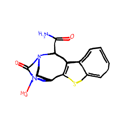 NC(=O)C1c2c(sc3ccccc23)C2CN1C(=O)N2O